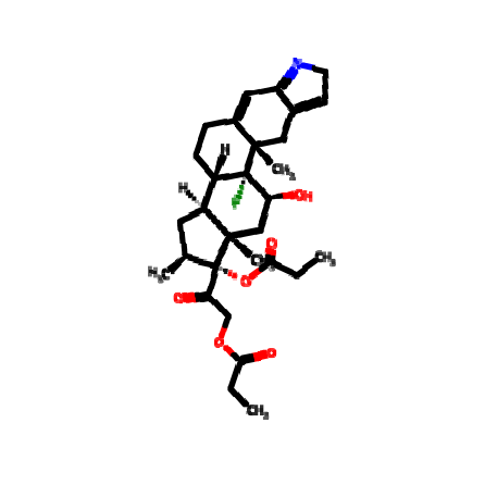 CCC(=O)OCC(=O)[C@@]1(OC(=O)CC)[C@@H](C)C[C@H]2[C@@H]3CCC4=CC5=NCC=C5C[C@]4(C)[C@@]3(F)[C@@H](O)C[C@@]21C